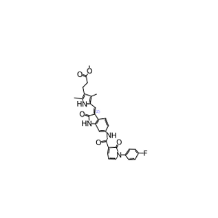 COC(=O)CCc1c(C)[nH]c(/C=C2\C(=O)Nc3cc(NC(=O)c4cccn(-c5ccc(F)cc5)c4=O)ccc32)c1C